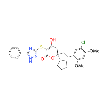 COc1cc(OC)c(CCC2(C3CCCC3)CC(O)=C(Sc3n[nH]c(-c4ccccc4)n3)C(=O)O2)cc1Cl